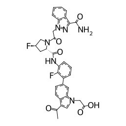 CC(=O)c1cn(CC(=O)O)c2cc(-c3cccc(NC(=O)[C@@H]4C[C@@H](F)CN4C(=O)Cn4nc(C(N)=O)c5ccccc54)c3F)ccc12